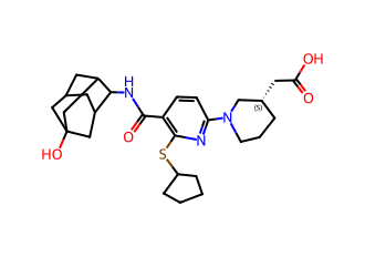 O=C(O)C[C@@H]1CCCN(c2ccc(C(=O)NC3C4CC5CC3CC(O)(C5)C4)c(SC3CCCC3)n2)C1